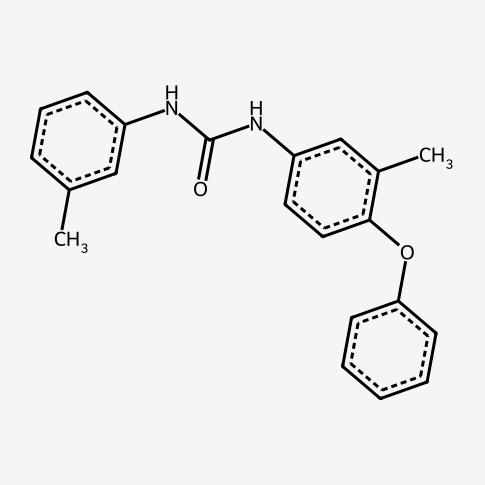 Cc1cccc(NC(=O)Nc2ccc(Oc3ccccc3)c(C)c2)c1